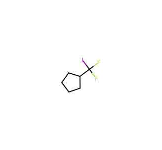 FC(F)(I)C1CCCC1